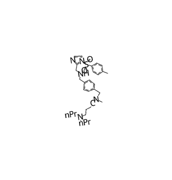 CCCN(CCC)CCCCN(C)Cc1ccc(CNCc2nccn2S(=O)(=O)c2ccc(C)cc2)cc1